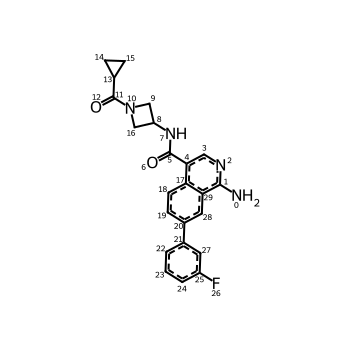 Nc1ncc(C(=O)NC2CN(C(=O)C3CC3)C2)c2ccc(-c3cccc(F)c3)cc12